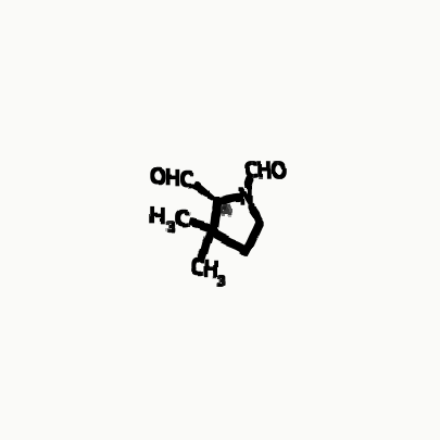 CC1(C)CCN(C=O)[C@@H]1C=O